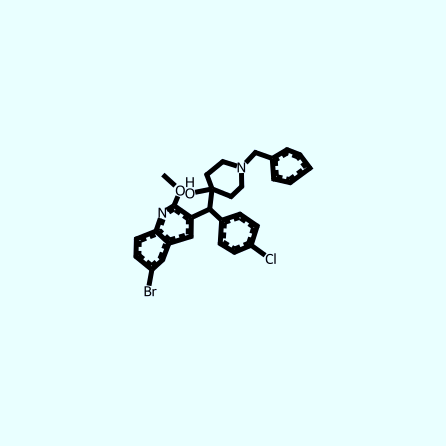 COc1nc2ccc(Br)cc2cc1C(c1ccc(Cl)cc1)C1(O)CCN(Cc2ccccc2)CC1